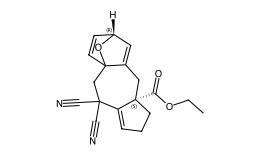 CCOC(=O)[C@]12CCC=C1C(C#N)(C#N)CC13C=C[C@H](C=C1C2)O3